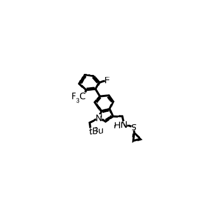 CC(C)(C)Cn1cc(CNSC2CC2)c2ccc(-c3c(F)cccc3C(F)(F)F)cc21